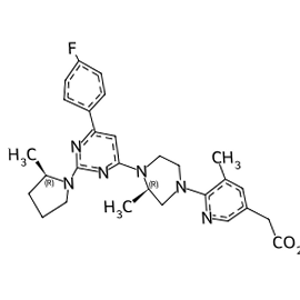 Cc1cc(CC(=O)O)cnc1N1CCN(c2cc(-c3ccc(F)cc3)nc(N3CCC[C@H]3C)n2)[C@H](C)C1